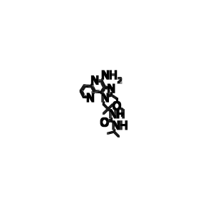 CCOCc1nc2c(N)nc3cccnc3c2n1CC(C)(C)NC(=O)NC(C)C